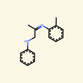 C/C(CNc1ccccc1)=N/c1ccccc1C